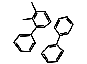 Cc1cccc(-c2ccccc2)c1C.c1ccc(-c2ccccc2)cc1